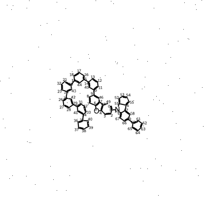 C=C(/C=C\c1oc2ccc(-c3cccc(-c4cccc(-c5cccc(-c6cccc(-c7cccc(-c8ccccc8)c7)c6)c5)c4)c3)cc2c1C)n1c2ccccc2c2cc(-c3ccccc3)ccc21